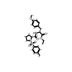 CCOC(=O)[C@H](Cc1ccc(OC)cc1)NC(=O)[C@@H]1CCCN1S(=O)(=O)c1ccc(C)cc1